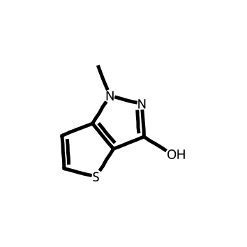 Cn1nc(O)c2sccc21